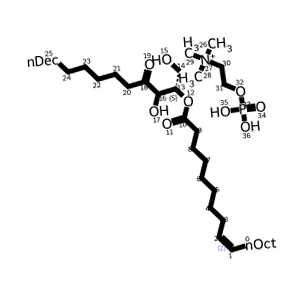 CCCCCCCC/C=C\CCCCCCCC(=O)O[C@@H](CO)C(O)C(=O)CCCCCCCCCCCCCCC.C[N+](C)(C)CCOP(=O)(O)O